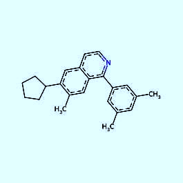 Cc1cc(C)cc(-c2nccc3cc(C4CCCC4)c(C)cc23)c1